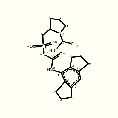 CC(C)N1CCCC1CS(=O)(=O)NC(=O)Nc1c2c(cc3c1CCC3)CCC2